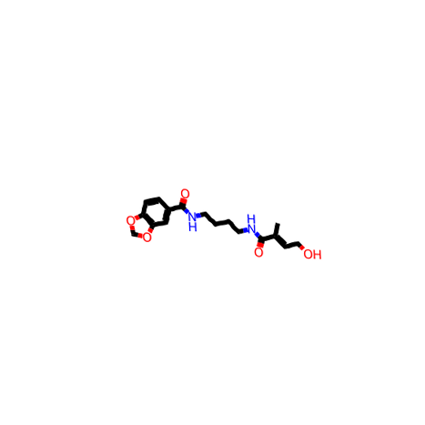 C/C(=C\CO)C(=O)NCCCCNC(=O)c1ccc2c(c1)OCO2